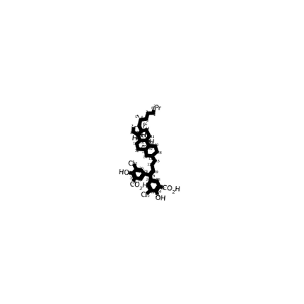 CC(C)CCC[C@@H](C)[C@H]1CC[C@H]2[C@@H]3CCC4CC(CCC=C(c5cc(Cl)c(O)c(C(=O)O)c5)c5cc(Cl)c(O)c(C(=O)O)c5)CC[C@]4(C)[C@H]3CC[C@]12C